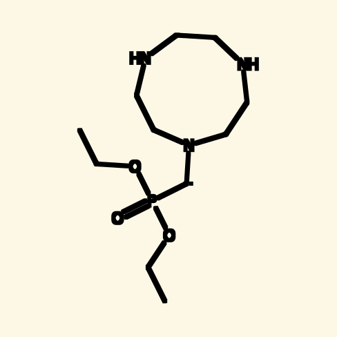 CCOP(=O)([CH]N1CCNCCNCC1)OCC